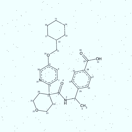 CC(NC(=O)C1(c2ccc(OCC3CCCCC3)cn2)CCOCC1)c1ccc(C(=O)O)cc1